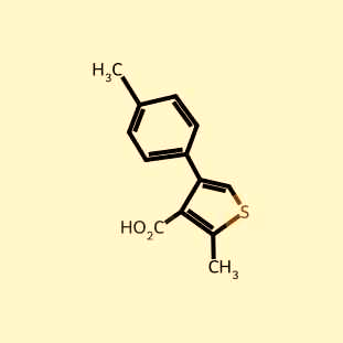 Cc1ccc(-c2csc(C)c2C(=O)O)cc1